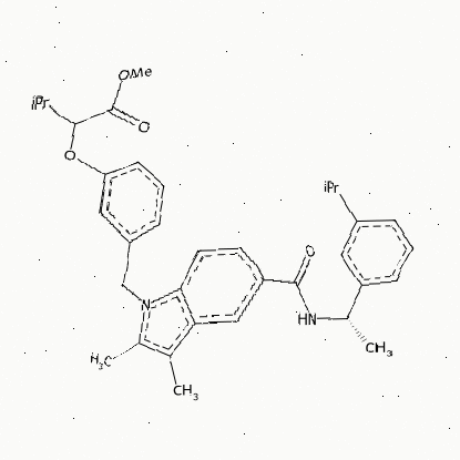 COC(=O)C(Oc1cccc(Cn2c(C)c(C)c3cc(C(=O)N[C@@H](C)c4cccc(C(C)C)c4)ccc32)c1)C(C)C